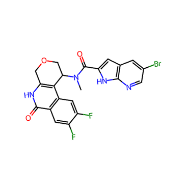 CN(C(=O)c1cc2cc(Br)cnc2[nH]1)C1COCc2[nH]c(=O)c3cc(F)c(F)cc3c21